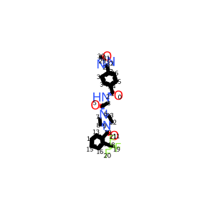 O=C(NCC(=O)N1CCN(C(=O)c2ccccc2C(F)(F)F)CC1)c1ccc(-c2ncon2)cc1